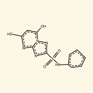 O=S(=O)(Nc1ccccc1)c1nc2nc(O)cc(O)n2n1